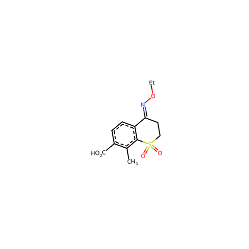 CCON=C1CCS(=O)(=O)c2c1ccc(C(=O)O)c2C